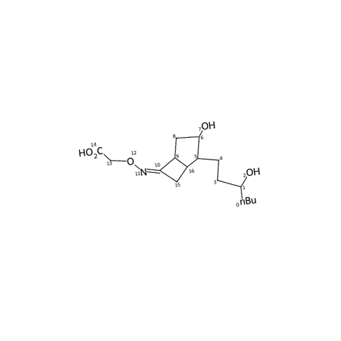 CCCCC(O)CCC1C(O)CC2/C(=N\OCC(=O)O)CC21